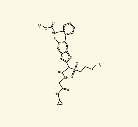 COCCS(=O)(=O)C(C(=O)NCC(=O)NC1CC1)c1nc2cc(F)c(-c3ccccc3NC(=O)OC)cc2s1